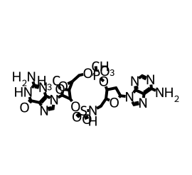 COC1C2COP(C)(=O)OC3CC(n4cnc5c(N)ncnc54)OC3CNS(=O)(=O)OC1C(n1cnc3c(=O)[nH]c(N)nc31)O2